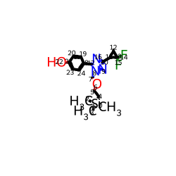 C[Si](C)(C)CCOCn1nc(C2CC2(F)F)nc1-c1ccc(O)cc1